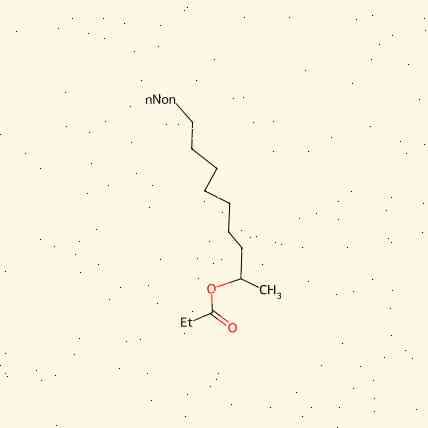 CCCCCCCCCCCCCCCCC(C)OC(=O)CC